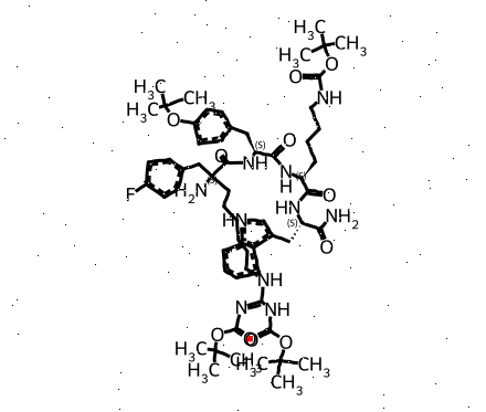 CC(C)(C)OC(=O)N=C(NCCCCCC[C@](N)(Cc1ccc(F)cc1)C(=O)N[C@@H](Cc1ccc(OC(C)(C)C)cc1)C(=O)N[C@@H](CCCCNC(=O)OC(C)(C)C)C(=O)N[C@@H](Cc1c[nH]c2ccccc12)C(N)=O)NC(=O)OC(C)(C)C